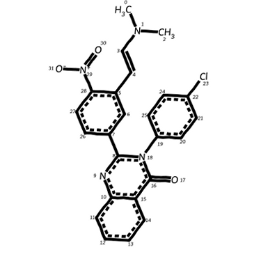 CN(C)/C=C/c1cc(-c2nc3ccccc3c(=O)n2-c2ccc(Cl)cc2)ccc1[N+](=O)[O-]